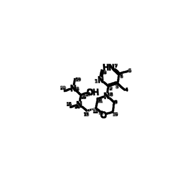 C=N/C(=C(/C)C(C)=N)N1CCO[C@H](CN(C)C(O)N(C)C)C1